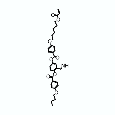 C=CC(=O)OCCCCCCOc1ccc(C(=O)Oc2ccc(OC(=O)c3ccc(OCCCC)cc3)c(C=N)c2)cc1